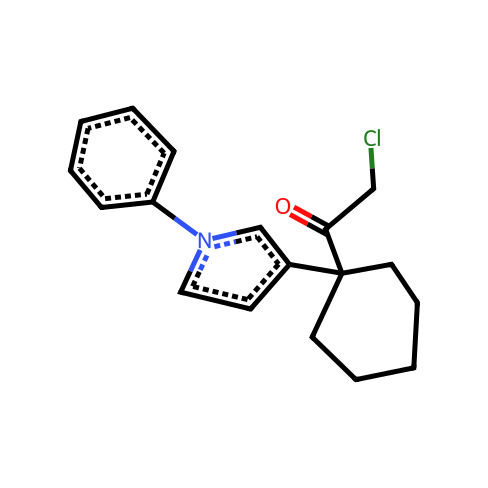 O=C(CCl)C1(c2ccn(-c3ccccc3)c2)CCCCC1